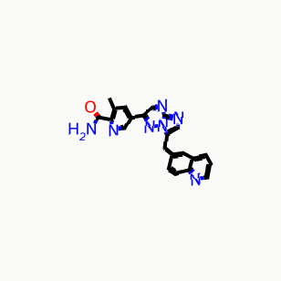 Cc1cc(-c2cnc3ncc(Cc4ccc5ncccc5c4)n3n2)cnc1C(N)=O